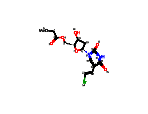 COCC(=O)OC[C@H]1O[C@@H](n2cc(C=CBr)c(=O)[nH]c2=O)C[C@@H]1O